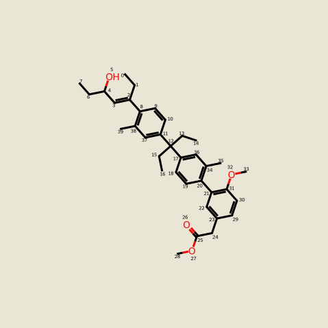 CCC(=CC(O)CC)c1ccc(C(CC)(CC)c2ccc(-c3cc(CC(=O)OC)ccc3OC)c(C)c2)cc1C